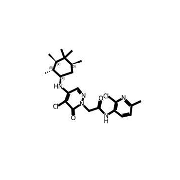 Cc1ccc(NC(=O)Cn2ncc(N[C@@H]3C[C@H](C)C(C)(C)[C@H](C)[C@H]3C)c(Cl)c2=O)c(Cl)n1